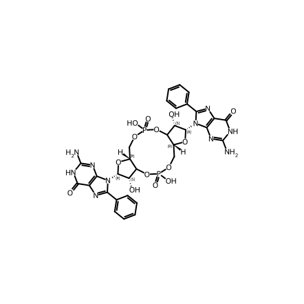 Nc1nc2c(nc(-c3ccccc3)n2[C@@H]2O[C@@H]3COP(=O)(O)OC4[C@@H](COP(=O)(O)OC3[C@@H]2O)O[C@@H](n2c(-c3ccccc3)nc3c(=O)[nH]c(N)nc32)[C@H]4O)c(=O)[nH]1